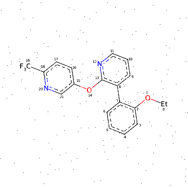 CCOc1ccccc1-c1cccnc1Oc1ccc(C(F)(F)F)nc1